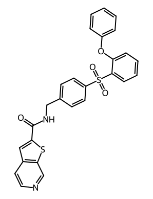 O=C(NCc1ccc(S(=O)(=O)c2ccccc2Oc2ccccc2)cc1)c1cc2ccncc2s1